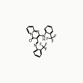 O=c1c(C=Nc2ccccc2C(F)(F)F)c(Nc2ccccc2C(F)(F)F)nc2ccccn12